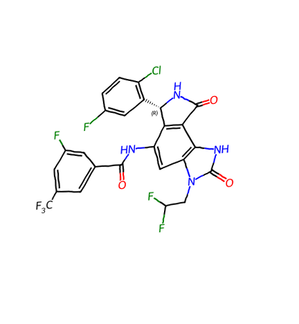 O=C(Nc1cc2c([nH]c(=O)n2CC(F)F)c2c1[C@H](c1cc(F)ccc1Cl)NC2=O)c1cc(F)cc(C(F)(F)F)c1